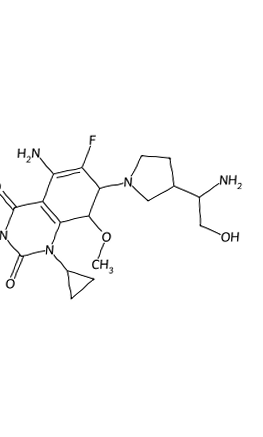 COC1c2c(c(=O)[nH]c(=O)n2C2CC2)C(N)=C(F)C1N1CCC(C(N)CO)C1